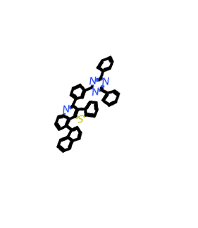 c1ccc(-c2nc(-c3ccccc3)nc(-c3cccc(-c4nc5cccc(-c6cccc7ccccc67)c5c5sc6ccccc6c45)c3)n2)cc1